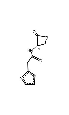 O=C(Cc1cccs1)N[C@H]1C[N]C1=O